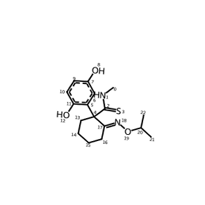 CNC(=S)C1(c2cc(O)ccc2O)CCCCC1=NOC(C)C